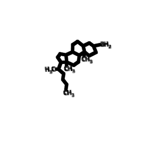 BC1CCC2(C)C(CCC3C2CCC2(C)C(C(C)CCCC)CCC32)C1